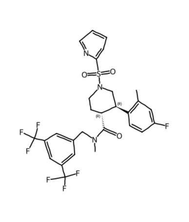 Cc1cc(F)ccc1[C@@H]1CN(S(=O)(=O)c2ccccn2)CC[C@H]1C(=O)N(C)Cc1cc(C(F)(F)F)cc(C(F)(F)F)c1